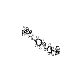 CS(=O)(=O)NC(=O)CCCc1ccc(OCc2ccc(C(F)(F)F)cc2)cc1